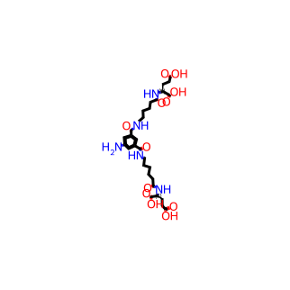 Nc1cc(C(=O)NCCCCCC(=O)N[C@@H](CCC(=O)O)C(=O)O)cc(C(=O)NCCCCCC(=O)N[C@@H](CCC(=O)O)C(=O)O)c1